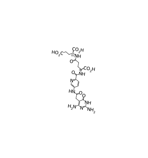 Nc1nc(N)c(CC(=O)Nc2ccc(C(=O)N[C@@H](CCC(=O)N[C@@H](CCC(=O)O)C(=O)O)C(=O)O)nc2)c(=O)[nH]1